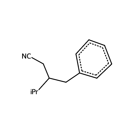 CC(C)C(CC#N)Cc1ccccc1